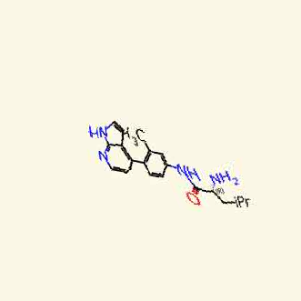 Cc1cc(NC(=O)[C@H](N)CC(C)C)ccc1-c1ccnc2[nH]ccc12